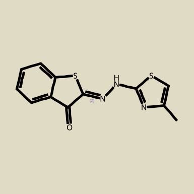 Cc1csc(N/N=C2\Sc3ccccc3C2=O)n1